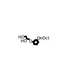 CCCCCCCCOc1cccc(OCC(O)CO)c1